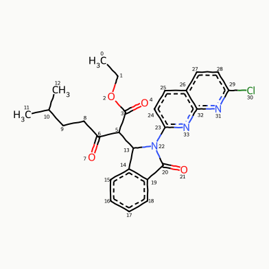 CCOC(=O)C(C(=O)CCC(C)C)C1c2ccccc2C(=O)N1c1ccc2ccc(Cl)nc2n1